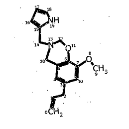 C=CCc1cc2c(c(OC)c1)OCN(Cc1ccc[nH]1)C2